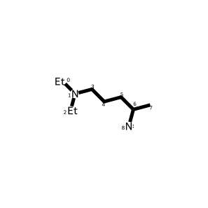 CCN(CC)CCCC(C)[N]